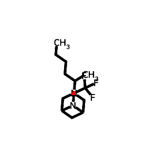 CCCCC(C)N1CC2CC(C1)N2CC(F)(F)F